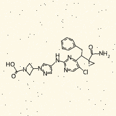 NC(=O)C1(C(Cc2ccccc2)c2nc(Nc3cnn(C4CN(C(=O)O)C4)c3)ncc2Cl)CC1